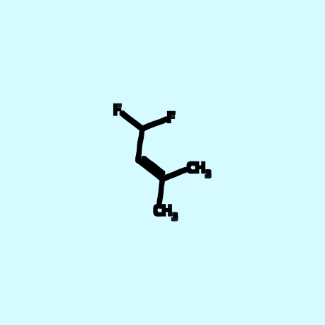 CC(C)=CC(F)F